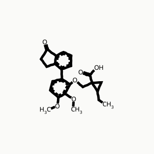 CCC1CC1(COc1c(-c2cccc3c2CCC3=O)ccc(OC)c1OC)C(=O)O